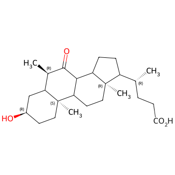 C[C@H](CCC(=O)O)C1CCC2C3C(=O)[C@H](C)C4C[C@H](O)CC[C@]4(C)C3CC[C@@]21C